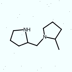 CC1CCCN1CC1CCCN1